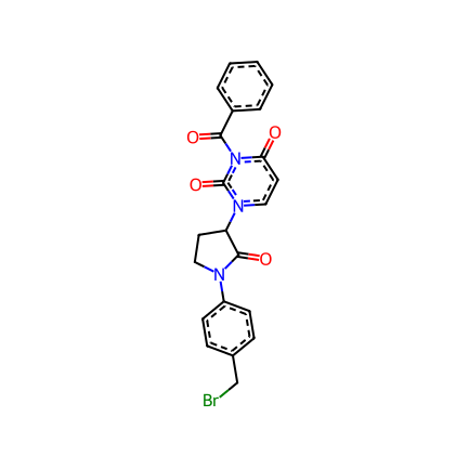 O=C1C(n2ccc(=O)n(C(=O)c3ccccc3)c2=O)CCN1c1ccc(CBr)cc1